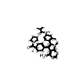 C=C(C)C(=O)Nc1ccc(-c2c(C3=CC[C@](C)(C(=O)N4CCCC4)CC3)c3c(N)ncnc3n2C)c(C)c1